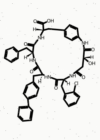 O=C1C[C@@H](O)C(=O)Nc2ccc(cc2)C[C@@H](C(=O)O)NC(=O)[C@@H](Cc2ccccc2)NC(=O)[C@H](Cc2ccc(-c3ccccc3)cc2)NC(=O)[C@@H](Cc2ccccc2Cl)N1